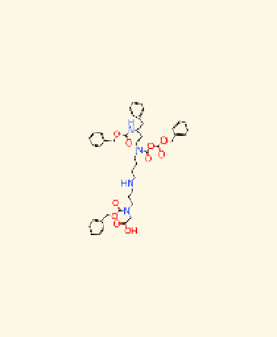 O=C(O)CN(CCCNCCCCN(CCC(Cc1ccccc1)NC(=O)OCc1ccccc1)C(=O)OC(=O)OCc1ccccc1)C(=O)OCc1ccccc1